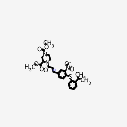 COC(=O)C1CN(C(=O)OC)CCN1C(=O)/C=C/c1ccc(Sc2ccccc2C(C)C)c([N+](=O)[O-])c1